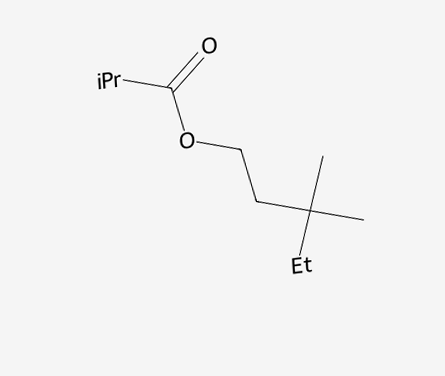 CCC(C)(C)CCOC(=O)C(C)C